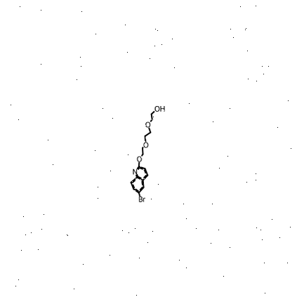 OCCOCCOCCOc1ccc2cc(Br)ccc2n1